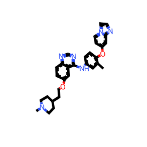 Cc1cc(Nc2ncnc3ccc(OCCC4CCN(C)CC4)cc23)ccc1Oc1ccn2ccnc2c1